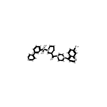 O=C(C1CCCN(S(=O)(=O)c2cccc(-c3ccncc3)c2)C1)N1CCN(c2ccnc3cc(F)ccc23)CC1